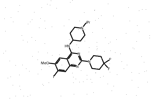 COc1cc2c(NC3CCN(C(C)C)CC3)nc(N3CCC(F)(F)CC3)nc2cc1I